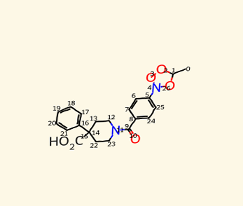 CC1OON(c2ccc(C(=O)N3CCC(C(=O)O)(c4ccccc4)CC3)cc2)O1